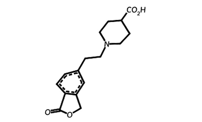 O=C1OCc2cc(CCN3CCC(C(=O)O)CC3)ccc21